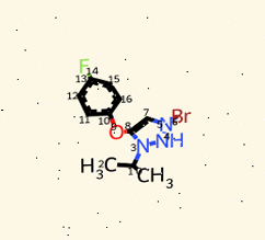 CC(C)N1NN(Br)C=C1Oc1ccc(F)cc1